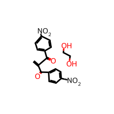 C=C(C(=O)c1ccc([N+](=O)[O-])cc1)C(=O)c1ccc([N+](=O)[O-])cc1.OCCO